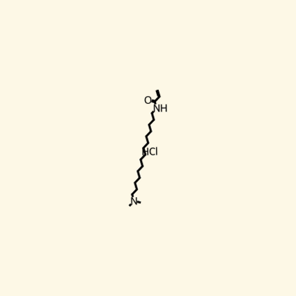 C=CC(=O)NCCCCCCCCCCCCCCCN(C)C.Cl